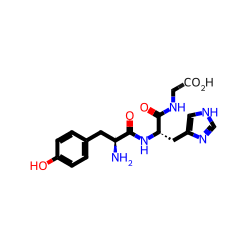 N[C@@H](Cc1ccc(O)cc1)C(=O)N[C@@H](Cc1c[nH]cn1)C(=O)NCC(=O)O